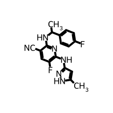 Cc1cc(Nc2nc(NC(C)c3ccc(F)cc3)c(C#N)cc2F)n[nH]1